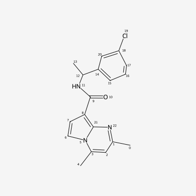 Cc1cc(C)n2ccc(C(=O)NC(C)c3cccc(Cl)c3)c2n1